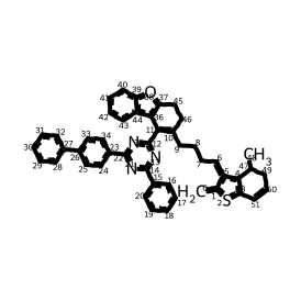 C=c1sc2c(/c1=C/CCCC1=C(c3nc(-c4ccccc4)nc(-c4ccc(-c5ccccc5)cc4)n3)c3c(oc4ccccc34)CC1)C(C)CC=C2